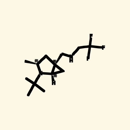 C[C@@H]1C[C@@]2(CNCC(F)(F)F)C[C@H]2N1C(C)(C)C